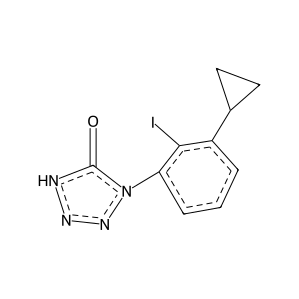 O=c1[nH]nnn1-c1cccc(C2CC2)c1I